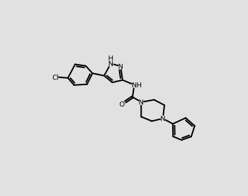 O=C(Nc1cc(-c2ccc(Cl)cc2)[nH]n1)N1CCN(c2ccccc2)CC1